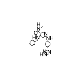 NC(=O)c1cnc(Nc2ccc(-c3nc[nH]n3)cc2)cc1NCc1ccccc1